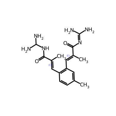 C/C(=C\c1cc(C)ccc1/C=C(\C)C(=O)NC(N)N)C(=O)N=C(N)N